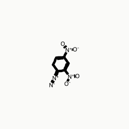 [N-]=[N+]=C1CC=C([N+](=O)[O-])C=C1[N+](=O)[O-]